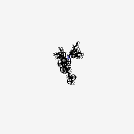 CCCCC[C@@H](/C=C/[C@@H]1[C@H]2C[C@](OC)([C@H](F)CCCC(=O)OC)O[C@H]2C[C@H]1O[Si](CC)(CC)CC)O[Si](CC)(CC)CC